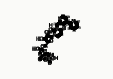 O=C1C=CN([C@@H]2O[C@H](COP(=O)(O)OP(=O)(O)OP(=O)(O)O)C(O)C2O)C(O)N1Cc1cc(-c2ccccn2)ccn1